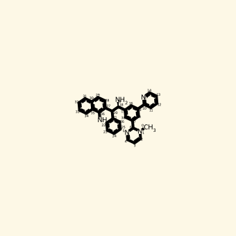 CN1C=CC=NC1c1cc(-c2ccccn2)cc([C@H](N)C(c2ccccc2)c2ccc3ccccc3c2N)c1